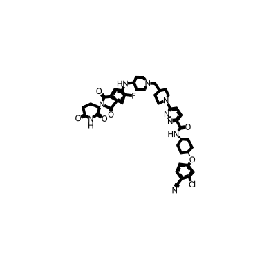 N#Cc1ccc(O[C@H]2CC[C@H](NC(=O)c3ccc(N4CCC(CN5CCC(Nc6cc7c(cc6F)C(=O)N(C6CCC(=O)NC6=O)C7=O)CC5)CC4)nn3)CC2)cc1Cl